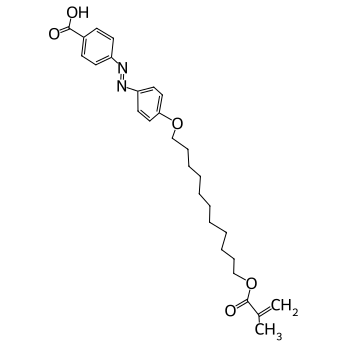 C=C(C)C(=O)OCCCCCCCCCCCOc1ccc(N=Nc2ccc(C(=O)O)cc2)cc1